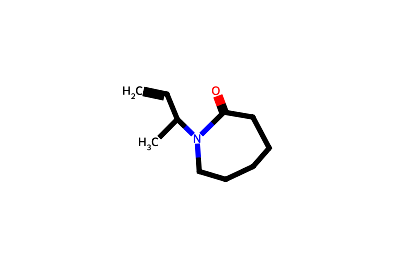 C=CC(C)N1CCCCCC1=O